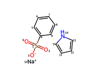 O=S(=O)([O-])c1ccccc1.[Na+].c1cc[nH]c1